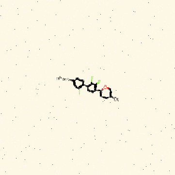 CCCCCc1ccc(-c2ccc(C3CCC(CC)CO3)c(F)c2F)c(F)c1